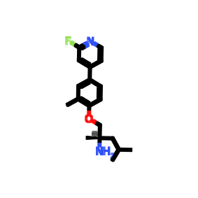 Cc1cc(-c2ccnc(F)c2)ccc1OC[C@@](C)(N)CC(C)C